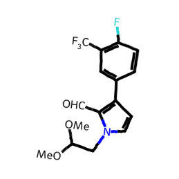 COC(Cn1ccc(-c2ccc(F)c(C(F)(F)F)c2)c1C=O)OC